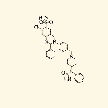 NS(=O)(=O)c1cc2c(cc1Cl)N=C(c1ccccc1)N(c1ccc(CN3CCC(n4c(=O)[nH]c5ccccc54)CC3)cc1)C2